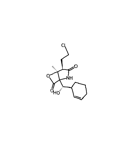 C[C@@]12OC(=O)C1([C@@H](O)C1C=CCCC1)NC(=O)[C@@H]2CCCl